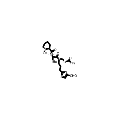 CCCC(=O)OCN(CCCc1nc(C=O)cs1)C(=O)C(NC(=O)C1CCCCN1C)C(C)CC